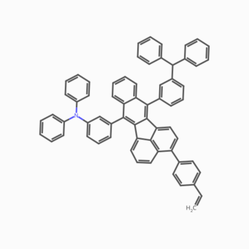 C=Cc1ccc(-c2ccc3c4c(cccc24)-c2c-3c(-c3cccc(C(c4ccccc4)c4ccccc4)c3)c3ccccc3c2-c2cccc(N(c3ccccc3)c3ccccc3)c2)cc1